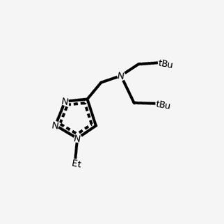 CCn1cc(CN(CC(C)(C)C)CC(C)(C)C)nn1